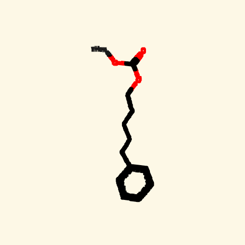 CCCCCCOC(=O)OCCCCCc1ccccc1